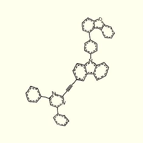 C(#Cc1nc(-c2ccccc2)cc(-c2ccccc2)n1)c1ccc2c(c1)c1ccccc1n2-c1ccc(-c2cccc3oc4ccccc4c23)cc1